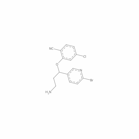 N#Cc1ccc(Cl)cc1OC(CCN)c1ccc(Br)nc1